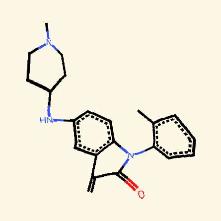 C=C1C(=O)N(c2ccccc2C)c2ccc(NC3CCN(C)CC3)cc21